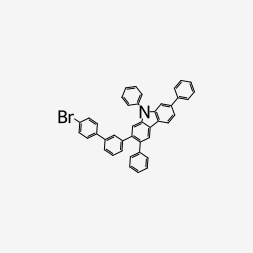 Brc1ccc(-c2cccc(-c3cc4c(cc3-c3ccccc3)c3ccc(-c5ccccc5)cc3n4-c3ccccc3)c2)cc1